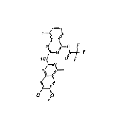 COc1cc2nc(Nc3nc(OC(=O)C(F)(F)F)c4cccc(F)c4n3)nc(C)c2cc1OC